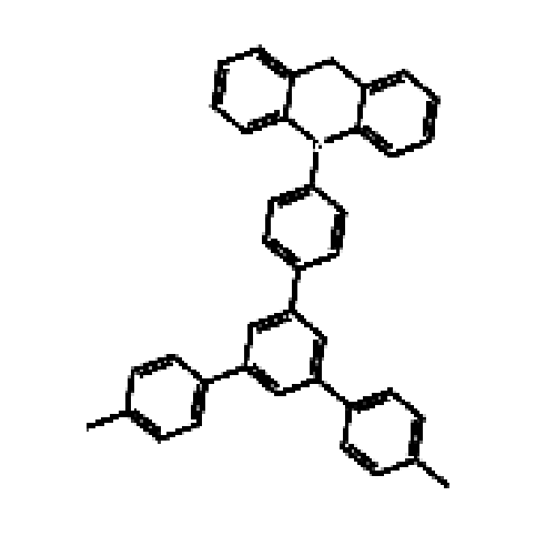 Cc1ccc(-c2cc(-c3ccc(C)cc3)cc(-c3ccc(N4c5ccccc5Cc5ccccc54)cc3)c2)cc1